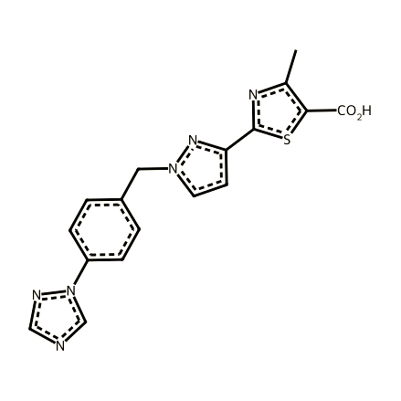 Cc1nc(-c2ccn(Cc3ccc(-n4cncn4)cc3)n2)sc1C(=O)O